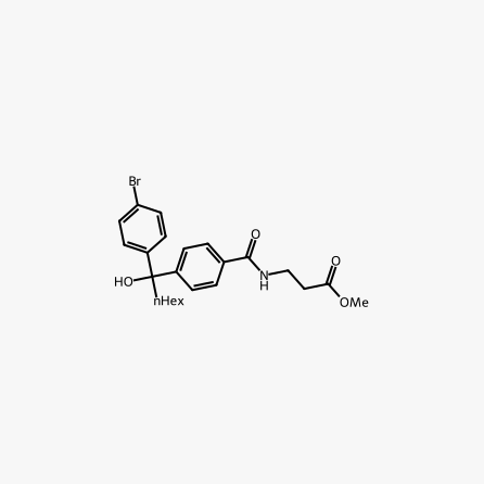 CCCCCCC(O)(c1ccc(Br)cc1)c1ccc(C(=O)NCCC(=O)OC)cc1